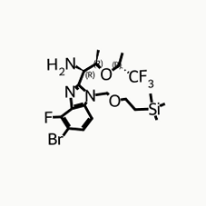 C[C@@H](O[C@H](C)C(F)(F)F)[C@H](N)c1nc2c(F)c(Br)ccc2n1COCC[Si](C)(C)C